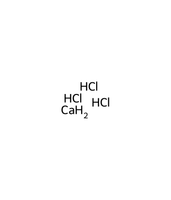 Cl.Cl.Cl.[CaH2]